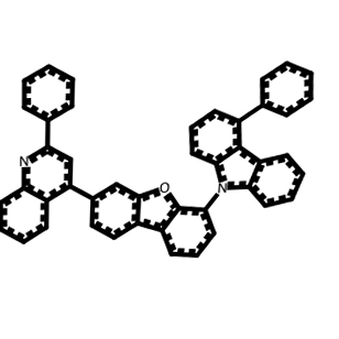 c1ccc(-c2cc(-c3ccc4c(c3)oc3c(-n5c6ccccc6c6c(-c7ccccc7)cccc65)cccc34)c3ccccc3n2)cc1